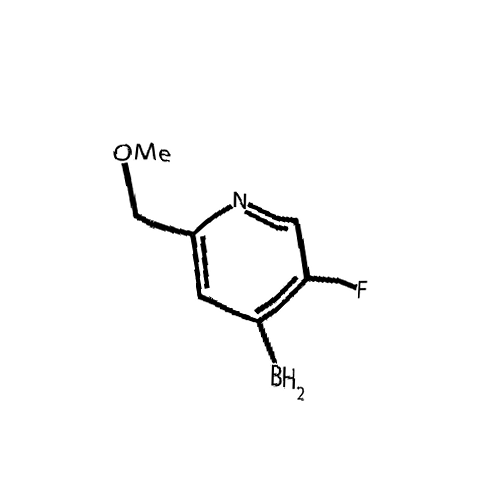 Bc1cc(COC)ncc1F